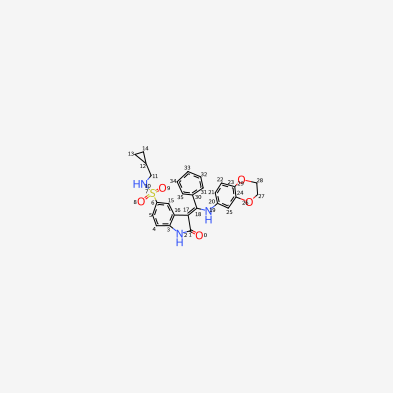 O=C1Nc2ccc(S(=O)(=O)NCC3CC3)cc2/C1=C(/Nc1ccc2c(c1)OCCO2)c1ccccc1